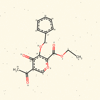 CCOC(=O)c1occ(C(C)=O)c(=O)c1OCc1ccccc1